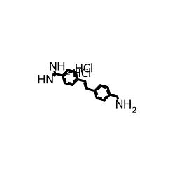 Cl.Cl.N=C(N)c1ccc(C=Cc2ccc(CN)cc2)cc1